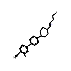 N#Cc1ccc(-c2ccc(C3CCC(/C=C/CCF)CC3)cc2)cc1F